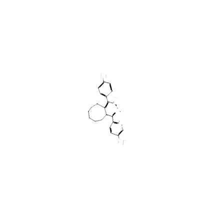 CCc1ccc(C2=C3CCCCCCC3C(c3ccc(C(F)(F)F)cn3)=NN2)cc1